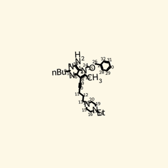 CCCCc1nc(N)c2c(n1)c(C#CCCCN1CCN(CC)CC1)c(C)n2COCc1ccccc1